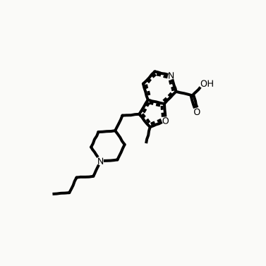 CCCCN1CCC(Cc2c(C)oc3c(C(=O)O)nccc23)CC1